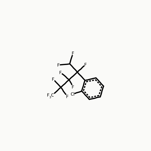 FC(F)C(F)(c1ccccc1Cl)C(F)(F)C(F)(F)C(F)(F)F